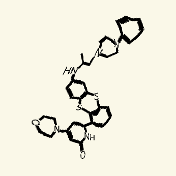 CC(CN1CCN(c2ccccc2)CC1)Nc1ccc2c(c1)Sc1cccc(-c3cc(N4CCOCC4)cc(=O)[nH]3)c1S2